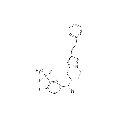 CC(F)(F)c1nc(C(=O)N2CCn3nc(OCc4ccccc4)cc3C2)ccc1F